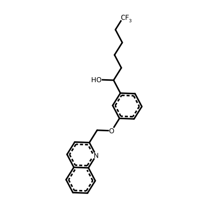 OC(CCCCC(F)(F)F)c1cccc(OCc2ccc3ccccc3n2)c1